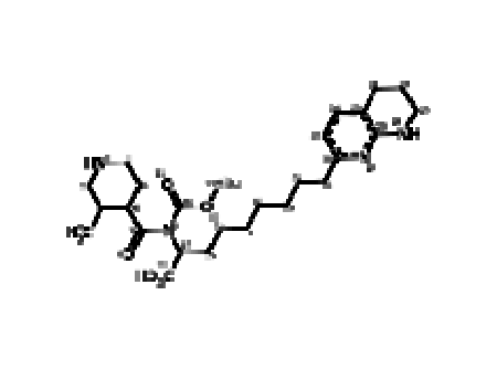 CC1CNCCC1C(=O)N(C(=O)OC(C)(C)C)C(CCCCCCCc1ccc2c(n1)NCCC2)C(=O)O